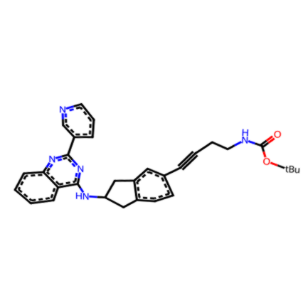 CC(C)(C)OC(=O)NCCC#Cc1ccc2c(c1)CC(Nc1nc(-c3cccnc3)nc3ccccc13)C2